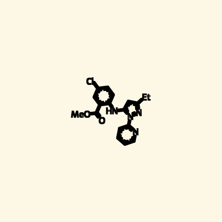 CCc1cc(Nc2ccc(Cl)cc2C(=O)OC)n(-c2ccccn2)n1